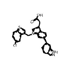 O=C(O)Cc1cn(Cc2csc3ccc(Cl)cc23)c2cc(-c3ccc4cn[nH]c4c3)ccc12